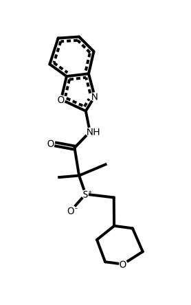 CC(C)(C(=O)Nc1nc2ccccc2o1)[S+]([O-])CC1CCOCC1